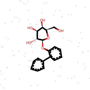 OC[C@H]1O[C@@H](Oc2ccccc2-c2ccccc2)[C@H](O)[C@@H](O)[C@H]1O